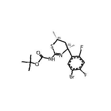 C[C@@H]1C[C@@](C)(c2cc(Br)c(F)cc2F)N=C(NC(=O)OC(C)(C)C)S1